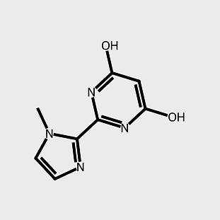 Cn1ccnc1-c1nc(O)cc(O)n1